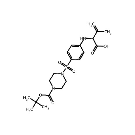 C=C(C)[C@H](Nc1ccc(S(=O)(=O)N2CCN(C(=O)OC(C)(C)C)CC2)cc1)C(=O)O